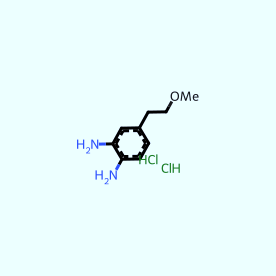 COCCc1ccc(N)c(N)c1.Cl.Cl